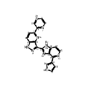 c1cnc(-c2ccc3[nH]nc(-c4nc5c(-c6ccoc6)nccc5[nH]4)c3n2)cn1